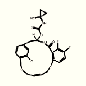 N#CC1(NC(=O)O[C@H]2Cc3ccc(c(Cl)c3)OC/C=C\COc3ccc(F)c(F)c3C(=O)N2)CC1